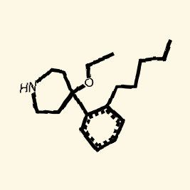 CCCCCc1ccccc1C1(OCC)CCNCC1